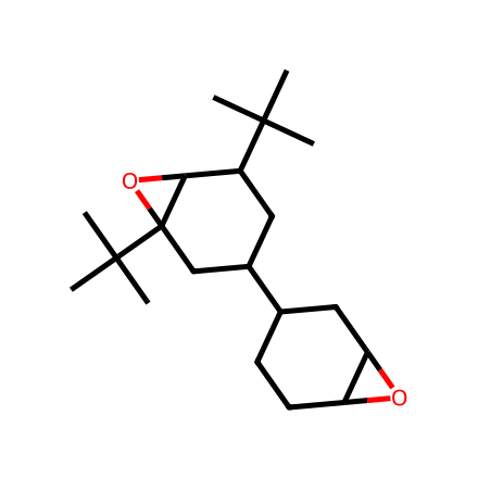 CC(C)(C)C1CC(C2CCC3OC3C2)CC2(C(C)(C)C)OC12